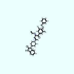 C=C/N=C(\C=C(/C)N1CCC(n2c(=O)[nH]c3ncccc32)CC1)C(=O)c1cc(C)c(OCc2ccccc2)c(C)c1